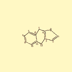 [CH]1C=CC2=C1Cc1ccccc1C2